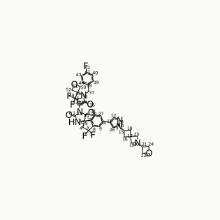 O=C1N[C@]2(CC(F)(F)c3cc(-c4cnn(C5CC6(C5)CN(C5COC5)C6)c4)ccc32)C(=O)N1CC(=O)N(Cc1ccc(F)cc1)C1(C(F)(F)F)COC1